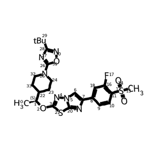 C[C@H](Oc1nn2cc(-c3ccc(S(C)(=O)=O)c(F)c3)nc2s1)C1CCN(c2nc(C(C)(C)C)no2)CC1